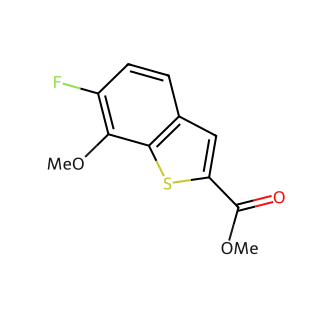 COC(=O)c1cc2ccc(F)c(OC)c2s1